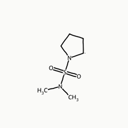 CN(C)S(=O)(=O)N1[CH]CCC1